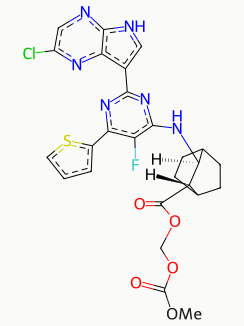 COC(=O)OCOC(=O)[C@H]1C2CCC(CC2)[C@@H]1Nc1nc(-c2c[nH]c3ncc(Cl)nc23)nc(-c2cccs2)c1F